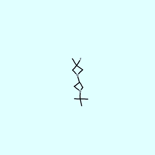 CC1(F)CN(C2CN(C(C)(C)C)C2)C1